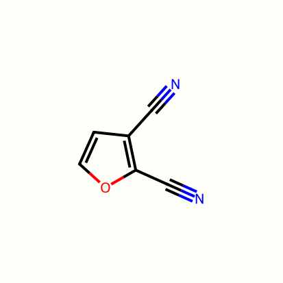 N#Cc1ccoc1C#N